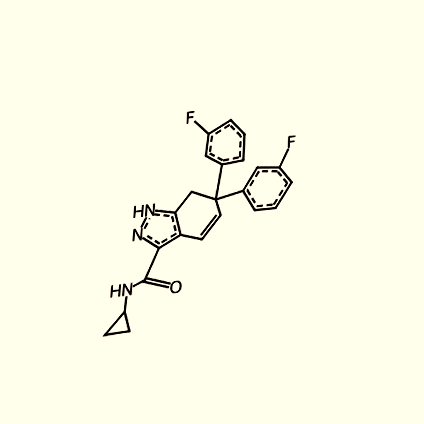 O=C(NC1CC1)c1n[nH]c2c1C=CC(c1cccc(F)c1)(c1cccc(F)c1)C2